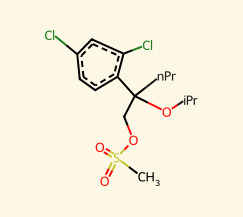 CCCC(COS(C)(=O)=O)(OC(C)C)c1ccc(Cl)cc1Cl